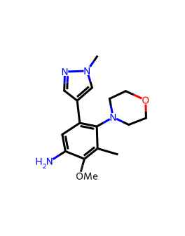 COc1c(N)cc(-c2cnn(C)c2)c(N2CCOCC2)c1C